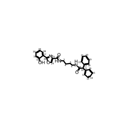 O=C(NCCCCNC(=O)C(c1ccccc1)c1ccccc1)c1coc(-c2ccccc2O)n1